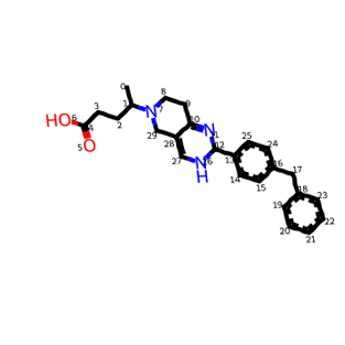 CC(CCC(=O)O)N1CCC2=NC(c3ccc(Cc4ccccc4)cc3)NC=C2C1